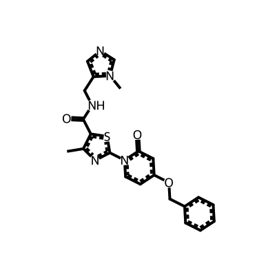 Cc1nc(-n2ccc(OCc3ccccc3)cc2=O)sc1C(=O)NCc1cncn1C